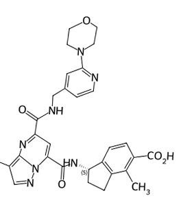 Cc1c(C(=O)O)ccc2c1CC[C@@H]2NC(=O)c1cc(C(=O)NCc2ccnc(N3CCOCC3)c2)nc2c(F)cnn12